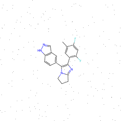 Cc1cc(-c2nc3n(c2-c2ccc4[nH]ncc4c2)CCC3)c(F)cc1F